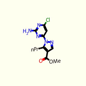 CCCc1c(C(=O)OC)cnn1-c1cc(Cl)nc(N)n1